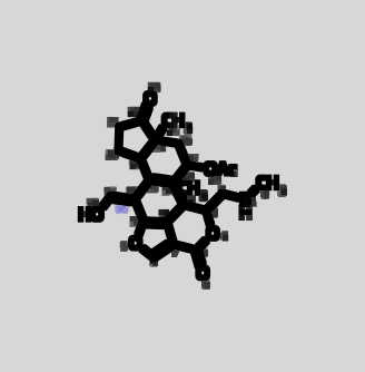 CBCC1OC(=O)c2coc3c2C1(C)C1=C(/C3=C/O)C2CCC(=O)C2(C)CC1OC(C)=O